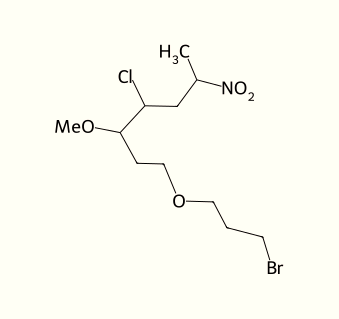 COC(CCOCCCBr)C(Cl)CC(C)[N+](=O)[O-]